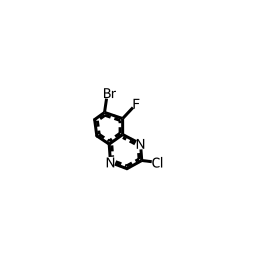 Fc1c(Br)ccc2ncc(Cl)nc12